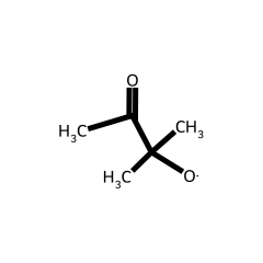 CC(=O)C(C)(C)[O]